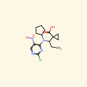 CCC(N(c1nc(Cl)ncc1[N+](=O)[O-])C1CCCC1)C1(C(=O)O)CC1